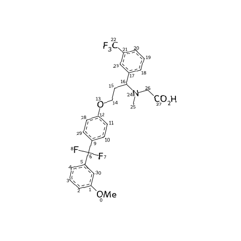 COc1cccc(C(F)(F)c2ccc(OCCC(c3cccc(C(F)(F)F)c3)N(C)CC(=O)O)cc2)c1